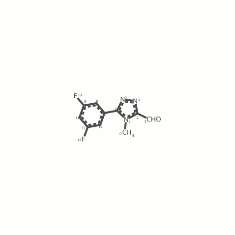 Cn1c(C=O)nnc1-c1cc(F)cc(F)c1